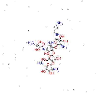 NC[C@@H](O)C(O)C(=O)N[C@@H]1C[C@H](N)[C@@H](O[C@H]2O[C@H](CNCC3CC(N)C3)[C@@H](O)[C@H](O)[C@H]2N)[C@H](O[C@@H]2O[C@H](CO)[C@@H](O[C@H]3O[C@@H](CN)[C@@H](O)[C@H](O)[C@H]3N)[C@H]2O)[C@H]1O